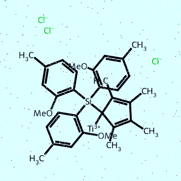 COc1cc(C)ccc1[Si](c1ccc(C)cc1OC)(c1ccc(C)cc1OC)[C]1([Ti+3])C(C)=C(C)C(C)=C1C.[Cl-].[Cl-].[Cl-]